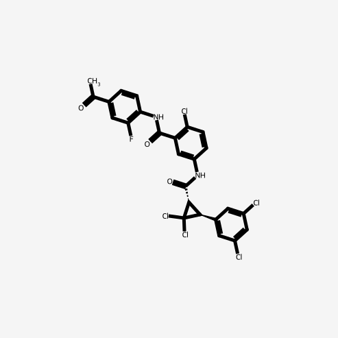 CC(=O)c1ccc(NC(=O)c2cc(NC(=O)[C@@H]3[C@@H](c4cc(Cl)cc(Cl)c4)C3(Cl)Cl)ccc2Cl)c(F)c1